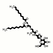 CCCCCCCCCC(=O)OC[C@H](CSC[C@@H](N)C(=O)Nc1cn(C2OC(CO)C(O)C(O)C2O)nn1)OC(=O)CCCCCCCCC